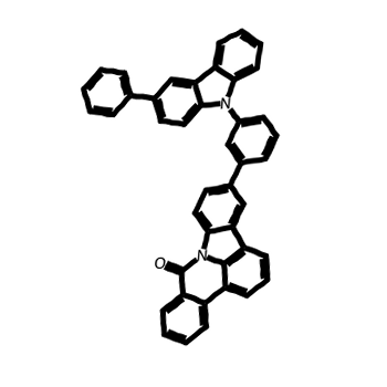 O=c1c2ccccc2c2cccc3c4cc(-c5cccc(-n6c7ccccc7c7cc(-c8ccccc8)ccc76)c5)ccc4n1c23